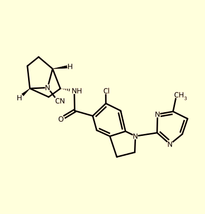 Cc1ccnc(N2CCc3cc(C(=O)N[C@@H]4C[C@@H]5CC[C@H]4N5C#N)c(Cl)cc32)n1